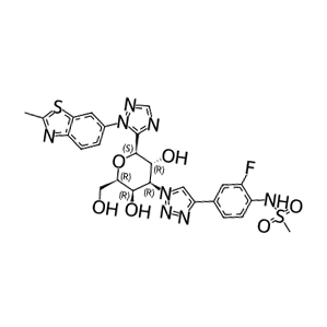 Cc1nc2ccc(-n3ncnc3[C@@H]3O[C@H](CO)[C@H](O)[C@H](n4cc(-c5ccc(NS(C)(=O)=O)c(F)c5)nn4)[C@H]3O)cc2s1